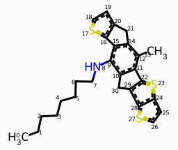 CCCCCCCCNc1c2c(c(C)c3c1-c1sccc1C3)-c1sc3ccsc3c1C2